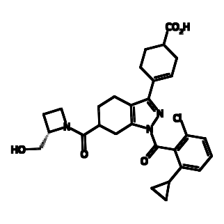 O=C(O)C1CC=C(c2nn(C(=O)c3c(Cl)cccc3C3CC3)c3c2CCC(C(=O)N2CC[C@H]2CO)C3)CC1